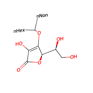 CCCCCCCCCC(CCCCCC)OC1=C(O)C(=O)O[C@@H]1[C@@H](O)CO